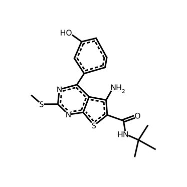 CSc1nc(-c2cccc(O)c2)c2c(N)c(C(=O)NC(C)(C)C)sc2n1